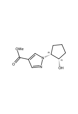 COC(=O)c1cnn([C@@H]2CCC[C@@H]2O)c1